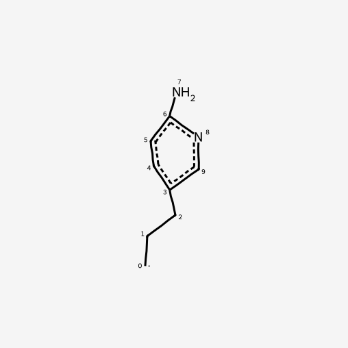 [CH2]CCc1ccc(N)nc1